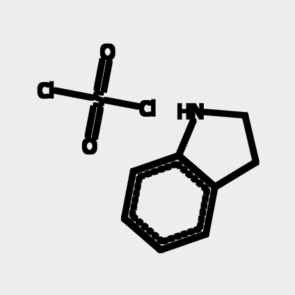 O=S(=O)(Cl)Cl.c1ccc2c(c1)CCN2